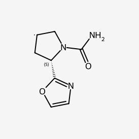 NC(=O)N1C[CH]C[C@H]1c1ncco1